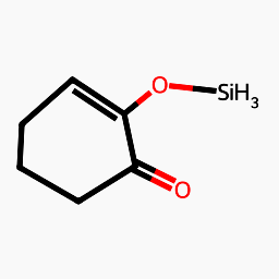 O=C1CCCC=C1O[SiH3]